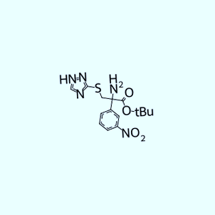 CC(C)(C)OC(=O)C(N)(CSc1nc[nH]n1)c1cccc([N+](=O)[O-])c1